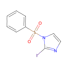 O=S(=O)(c1ccccc1)n1ccnc1I